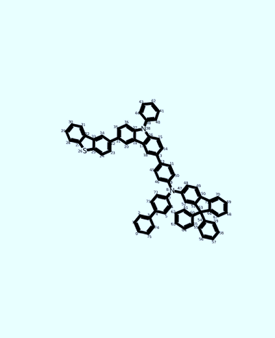 c1ccc(-c2ccc(N(c3ccc(-c4ccc5c(c4)c4cc(-c6ccc7sc8ccccc8c7c6)ccc4n5-c4ccccc4)cc3)c3ccc4c(c3)C(c3ccccc3)(c3ccccc3)c3ccccc3-4)cc2)cc1